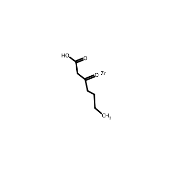 CCCCC(=O)CC(=O)O.[Zr]